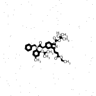 CCOC(=O)C=Cc1nn(C(=O)OC(C)(C)C)c2ccc(CC(=O)N(Cc3ccccc3)c3ccc(C)cc3OC(C)C)cc12